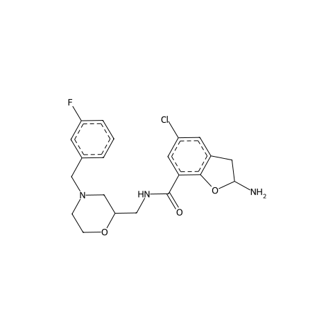 NC1Cc2cc(Cl)cc(C(=O)NCC3CN(Cc4cccc(F)c4)CCO3)c2O1